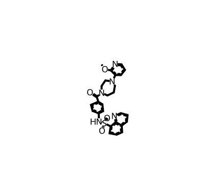 COc1ncccc1N1CCCN(C(=O)c2ccc(NS(=O)(=O)c3cccc4cccnc34)cc2)CC1